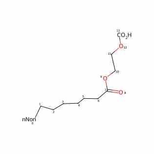 CCCCCCCCCCCCCCCC(=O)OCCOC(=O)O